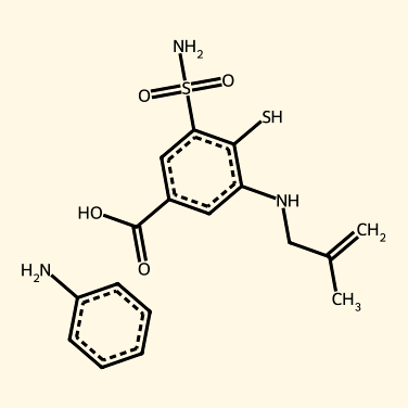 C=C(C)CNc1cc(C(=O)O)cc(S(N)(=O)=O)c1S.Nc1ccccc1